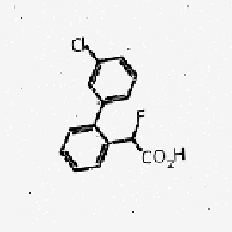 O=C(O)C(F)c1ccccc1-c1cccc(Cl)c1